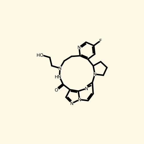 O=C1NN(CCO)CCc2ncc(F)cc2C2CCCN2c2ccn3ncc1c3n2